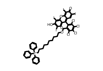 O=C(OCCCCCCCCCC[P+](c1ccccc1)(c1ccccc1)c1ccccc1)c1c(Cl)c(Cl)c(Cl)c(Cl)c1-c1c2cc(I)c(=O)c(I)c-2oc2c(I)c(O)c(I)cc12